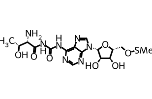 CSOC[C@H]1O[C@@H](n2cnc3c(NC(=O)NC(=O)[C@@H](N)[C@@H](C)O)ncnc32)[C@H](O)[C@@H]1O